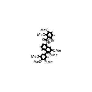 COc1cc(-c2c(OC)c(OC)cc3c(NC(=O)c4c(Br)ccc(OC)c4OC)cccc23)cc(OC)c1OC